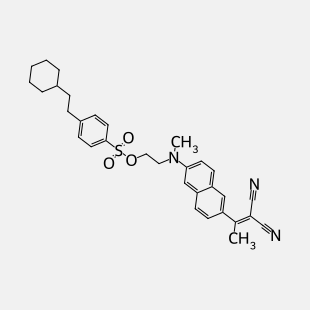 CC(=C(C#N)C#N)c1ccc2cc(N(C)CCOS(=O)(=O)c3ccc(CCC4CCCCC4)cc3)ccc2c1